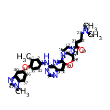 Cc1cc(Nc2ncnc3cc4c(nc23)N2CCN(C(=O)/C=C/CN(C)C)[C@H](CO4)C2)ccc1Oc1ccc2c(c1)ncn2C